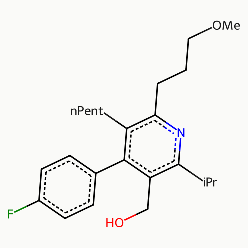 CCCCCc1c(CCCOC)nc(C(C)C)c(CO)c1-c1ccc(F)cc1